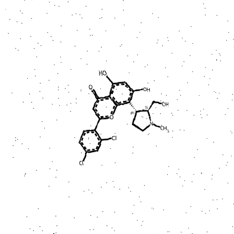 CN1CC[C@H](c2c(O)cc(O)c3c(=O)cc(-c4ccc(Cl)cc4Cl)oc23)[C@H]1CO